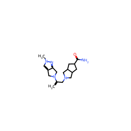 C=C(CN1CC2CC(C(N)=O)CC2C1)N1Cc2cn(C)nc2C1